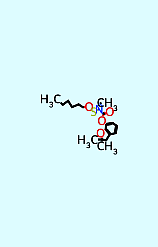 CCCCCCOSN(C)C(=O)Oc1cccc2c1OC(C)(C)C2